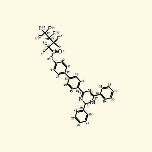 CC(F)(C(F)(F)S(=O)Oc1ccc(-c2ccc(C3=NC(c4ccccc4)NC(c4ccccc4)=N3)cc2)cc1)C(F)(F)C(F)(F)F